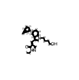 CCN1N=CC(=Cc2cn(CCCCO)c3ccccc23)C1=O.c1cc2cc-2c1